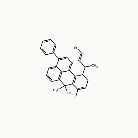 CCC=CC(C)C1CC=C(F)C2=C1c1ncc(-c3ccccc3)c3cccc(c13)C2(C)C